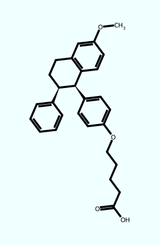 COc1ccc2c(c1)CC[C@H](c1ccccc1)[C@@H]2c1ccc(OCCCCC(=O)O)cc1